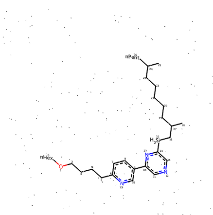 CCCCCCOCCCCc1ccc(-c2cncc([SiH2]CC(C)CCCCCC(C)CCCCC)n2)cn1